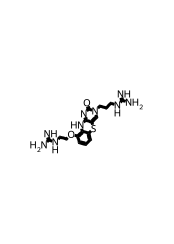 N=C(N)NCCCn1cc2c(nc1=O)Nc1c(OCCNC(=N)N)cccc1S2